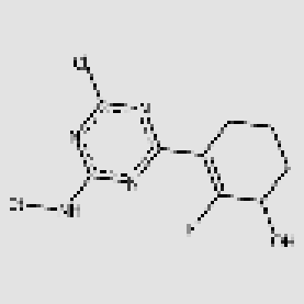 CCNc1nc(Cl)nc(C2=C(F)C(O)CCC2)n1